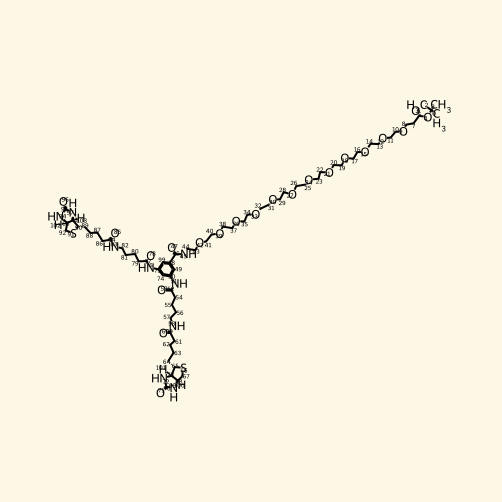 CC(C)(C)OC(=O)CCOCCOCCOCCOCCOCCOCCOCCOCCOCCOCCOCCOCCNC(=O)c1cc(NC(=O)CCCCNC(=O)CCCC[C@@H]2SC[C@@H]3NC(=O)N[C@@H]32)cc(NC(=O)CCCCNC(=O)CCCC[C@@H]2SC[C@@H]3NC(=O)N[C@@H]32)c1